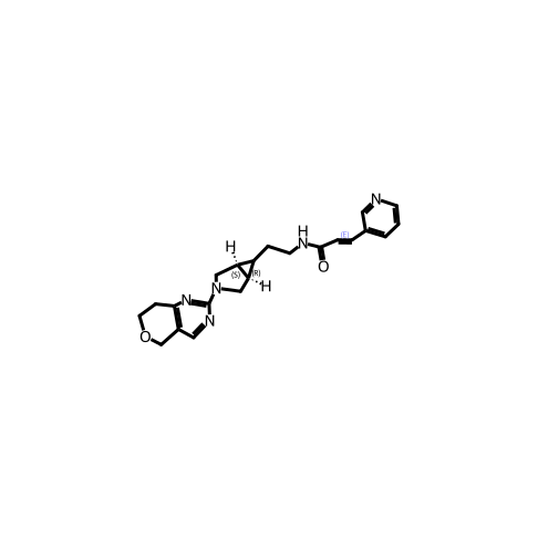 O=C(/C=C/c1cccnc1)NCCC1[C@H]2CN(c3ncc4c(n3)CCOC4)C[C@@H]12